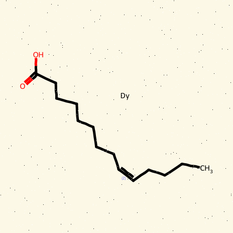 CCCC/C=C\CCCCCCCC(=O)O.[Dy]